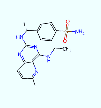 Cc1ccc2nc(N[C@H](C)c3ccc(S(N)(=O)=O)cc3)nc(NCC(F)(F)F)c2n1